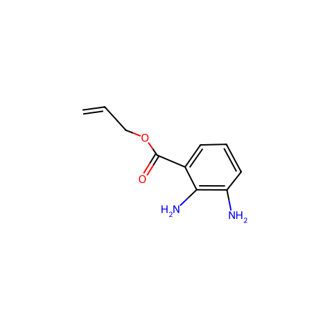 C=CCOC(=O)c1cccc(N)c1N